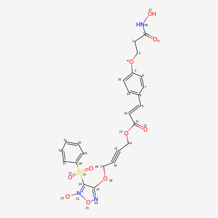 O=C(CCOc1ccc(C=CC(=O)OCC#CCOc2no[n+]([O-])c2S(=O)(=O)c2ccccc2)cc1)NO